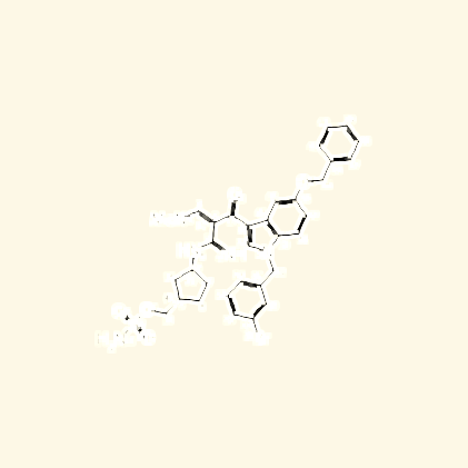 CN/C=C(\C(=N)N[C@H]1CC[C@@H](COS(N)(=O)=O)C1)C(=O)c1cn(Cc2cccc(Br)c2)c2ccc(OCc3ccccc3)cc12